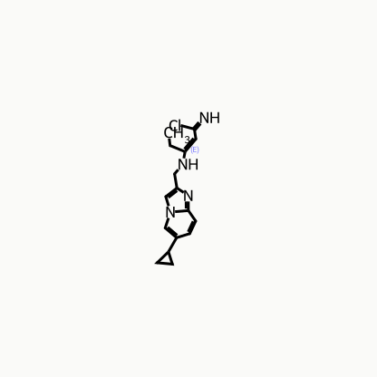 CC/C(=C\C(=N)Cl)NCc1cn2cc(C3CC3)ccc2n1